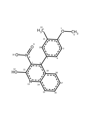 COc1ccc(-c2c([N+](=O)[O-])c(O)nc3ccccc23)cc1C